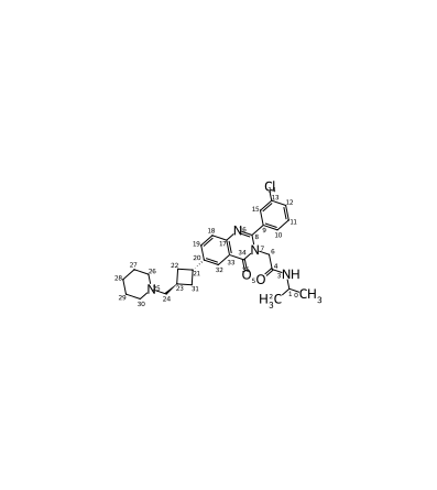 CC(C)NC(=O)Cn1c(-c2cccc(Cl)c2)nc2ccc([C@H]3C[C@H](CN4CCCCC4)C3)cc2c1=O